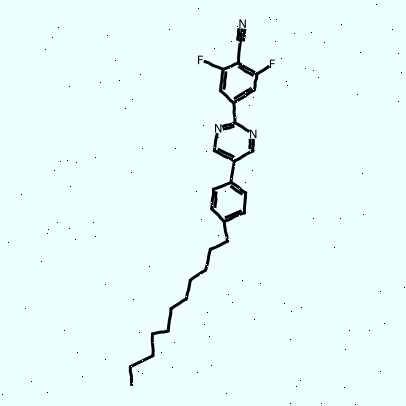 CCCCCCCCCCCc1ccc(-c2cnc(-c3cc(F)c(C#N)c(F)c3)nc2)cc1